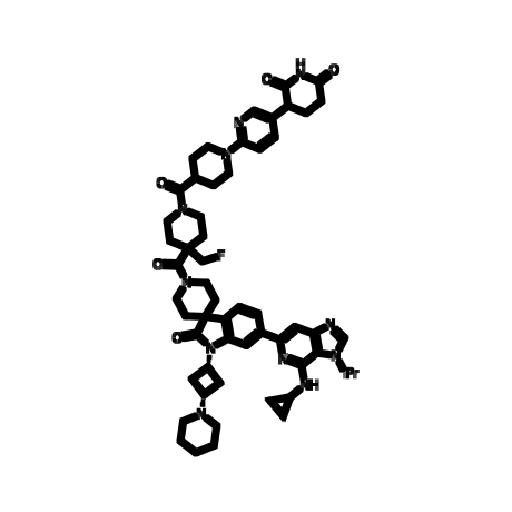 CC(C)n1cnc2cc(-c3ccc4c(c3)N([C@H]3C[C@@H](N5CCCCC5)C3)C(=O)C43CCN(C(=O)C4(CF)CCN(C(=O)C5CCN(c6ccc(C7CCC(=O)NC7=O)cn6)CC5)CC4)CC3)nc(NC3CC3)c21